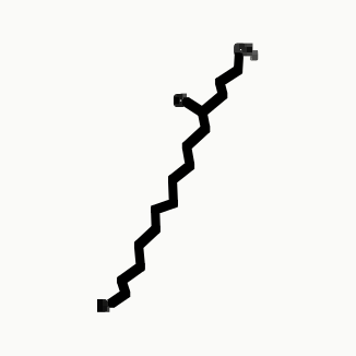 CCCCC(Cl)CCCCCCCCCCCBr